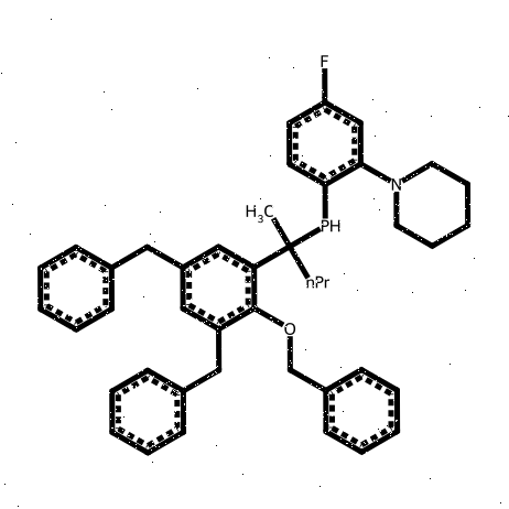 CCCC(C)(Pc1ccc(F)cc1N1CCCCC1)c1cc(Cc2ccccc2)cc(Cc2ccccc2)c1OCc1ccccc1